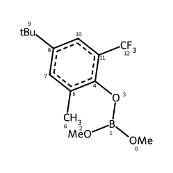 COB(OC)Oc1c(C)cc(C(C)(C)C)cc1C(F)(F)F